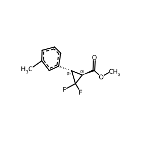 COC(=O)[C@@H]1[C@@H](c2cccc(C)c2)C1(F)F